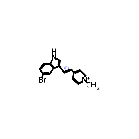 C[n+]1ccc(/C=C/c2c[nH]c3ccc(Br)cc23)cc1